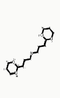 C1COC(CCC[N]CCCC2OCCCO2)OC1